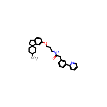 O=C(Cc1cccc(-c2ccccn2)c1)NCCCOc1ccc2c(c1)C1(CC2)CCC(C(=O)O)CC1